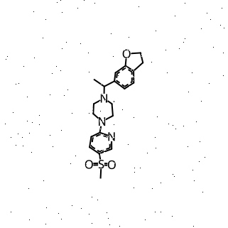 CC(c1ccc2c(c1)OCC2)N1CCN(c2ccc(S(C)(=O)=O)cn2)CC1